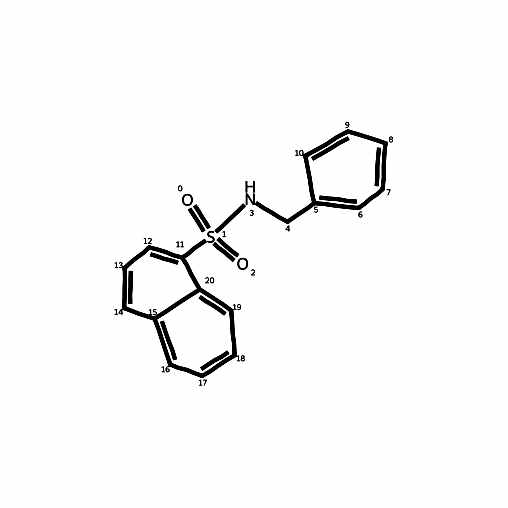 O=S(=O)(NCc1ccccc1)c1cccc2ccccc12